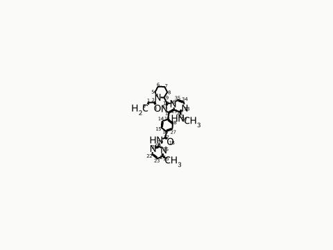 C=CC(=O)N1CCCCC1c1nc(-c2ccc(C(=O)Nc3nccc(C)n3)cc2)c2c(NC)nccn12